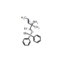 C/C=C/[C@](C)(N)[C@@H](CC)O[Si](c1ccccc1)(c1ccccc1)C(C)(C)C